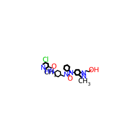 Cc1ncc(Cl)cc1C(=O)NC1CCC(Cn2c(=O)n(-c3ccc4c(c3)c(C)nn4CCO)c3ccccc32)CC1